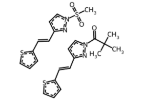 CC(C)(C)C(=O)n1ccc(C=Cc2cccs2)n1.CS(=O)(=O)n1ccc(C=Cc2cccs2)n1